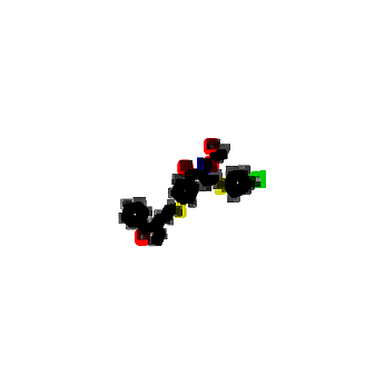 C=C/C(=C\C=C\Sc1ccc(C(=O)/C(CCSc2ccc(Cl)cc2)=N/OC(C)=O)cc1)C(=O)c1ccccc1